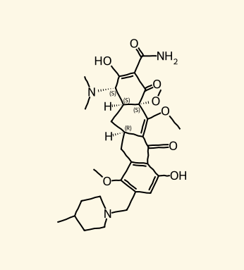 COC1=C2C(=O)c3c(O)cc(CN4CCC(C)CC4)c(OC)c3C[C@H]2C[C@H]2[C@H](N(C)C)C(O)=C(C(N)=O)C(=O)[C@@]12OC